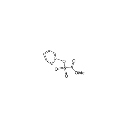 COC(=O)S(=O)(=O)Oc1ccccc1